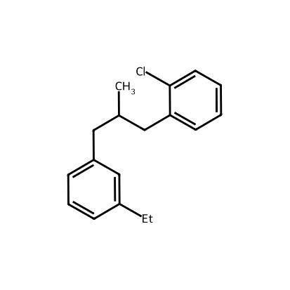 CCc1cccc(CC(C)Cc2ccccc2Cl)c1